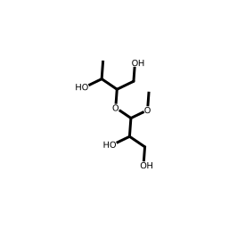 COC(OC(CO)C(C)O)C(O)CO